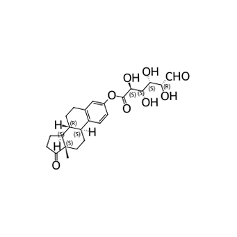 C[C@]12CC[C@@H]3c4ccc(OC(=O)[C@@H](O)[C@@H](O)[C@H](O)[C@@H](O)C=O)cc4CC[C@H]3[C@@H]1CCC2=O